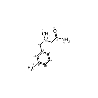 CN(CC(N)=O)Cc1cccc(C(F)(F)F)c1